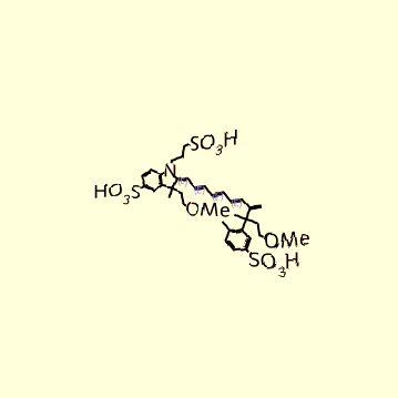 C=C(/C=C/C=C/C=C/C=C1/N(CCCS(=O)(=O)O)c2ccc(S(=O)(=O)O)cc2C1(C)CCOC)C(C)(CCOC)c1cc(S(=O)(=O)O)ccc1C